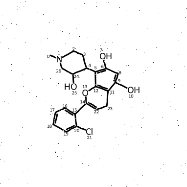 CN1CCC(c2c(O)cc(O)c3c2OC(c2ccccc2Cl)=CC3)C(O)C1